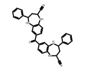 N#CC1CC(c2ccccc2)Nc2cc(C(=O)c3ccc4c(c3)NC(c3ccccc3)CC(C#N)N4)ccc2N1